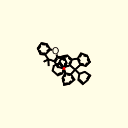 CC1(C)c2ccccc2Oc2ccc(-c3ccccc3C3(C4C=CC=CC4)c4ccccc4-c4ccc5c(c43)C=CCC5)cc21